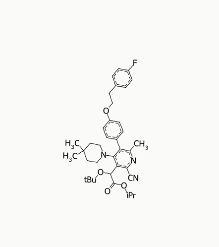 Cc1nc(C#N)c(C(OC(C)(C)C)C(=O)OC(C)C)c(N2CCC(C)(C)CC2)c1-c1ccc(OCCc2ccc(F)cc2)cc1